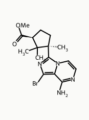 COC(=O)[C@H]1CC[C@@](C)(c2nc(Br)c3c(N)nccn23)C1(C)C